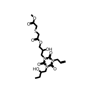 C=CCn1c(=O)n(CC(O)CC)c(=O)n(CC(O)COC(=O)CSCC(=O)OC)c1=O